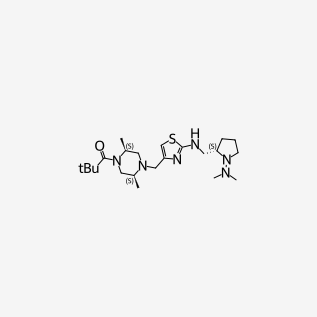 C[C@H]1CN(C(=O)C(C)(C)C)[C@@H](C)CN1Cc1csc(NC[C@@H]2CCCN2N(C)C)n1